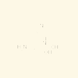 CC(O)Nc1ccc(N)cc1-c1ccncc1